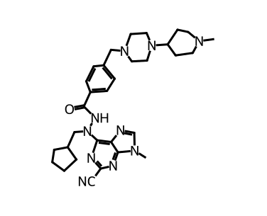 CN1CCC(N2CCN(Cc3ccc(C(=O)NN(CC4CCCC4)c4nc(C#N)nc5c4ncn5C)cc3)CC2)CC1